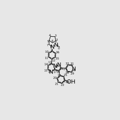 CN1C2CCC(C2)CN1c1ccc(-c2ccnc3c(-c4cccc(O)c4)c(-c4ccncc4)nn23)cc1